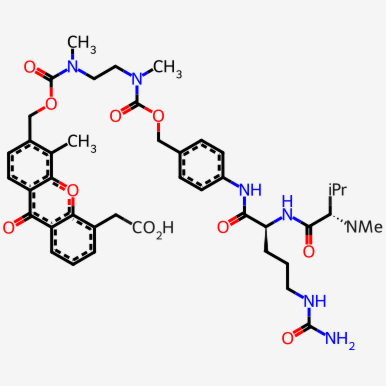 CN[C@H](C(=O)N[C@@H](CCCNC(N)=O)C(=O)Nc1ccc(COC(=O)N(C)CCN(C)C(=O)OCc2ccc3c(=O)c4cccc(CC(=O)O)c4oc3c2C)cc1)C(C)C